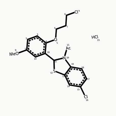 COc1ccc(OCCCCl)c(C2Sc3cc(Cl)ccc3N2C(C)=O)c1.Cl